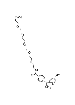 COCCOCCOCCOCCOCCOCCNC(=O)c1ccc(C(C)n2cc(C(C)C)cn2)cc1